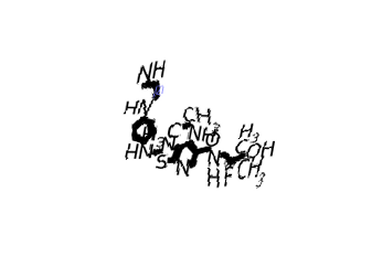 CC(C)Nc1c(C(=O)NC[C@@H](F)C(C)(C)O)cnc2sc(Nc3ccc(N/C=C\C=N)cc3)nc12